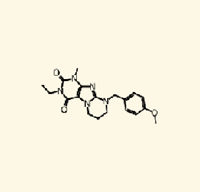 CCn1c(=O)c2c(nc3n2CCCN3Cc2ccc(OC)cc2)n(C)c1=O